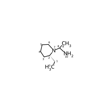 CC[C@@H]1CCCCN1C(C)N